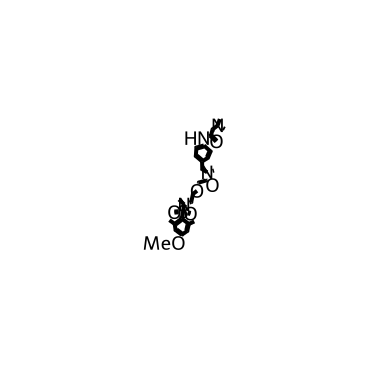 COc1cc(C)c(S(=O)(=O)N(C)CCOCC(=O)N(C)Cc2ccc(NC(=O)CN(C)C)cc2)c(C)c1